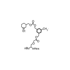 [CH2]c1cc(COC(=O)COCC(CCCC)CCCCCC)cc(COC(=O)OCC2CCCN(CC)C2)c1